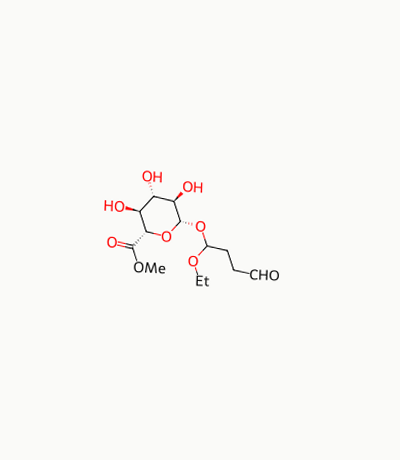 CCOC(CCC=O)O[C@@H]1O[C@H](C(=O)OC)[C@@H](O)[C@H](O)[C@H]1O